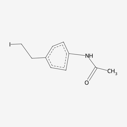 CC(=O)Nc1ccc(CCI)cc1